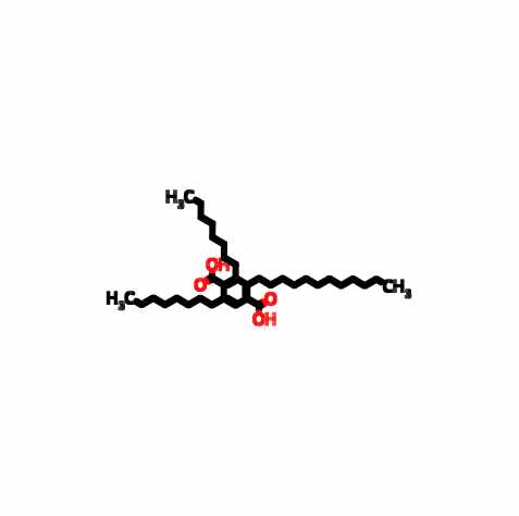 CCCCCCCCCCCCc1c(C(=O)O)cc(CCCCCCCC)c(C(=O)O)c1CCCCCCCC